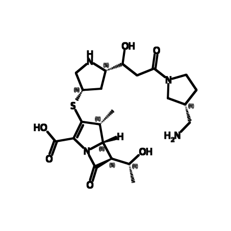 C[C@@H](O)[C@H]1C(=O)N2C(C(=O)O)=C(S[C@@H]3CN[C@H](C(O)CC(=O)N4CC[C@H](CN)C4)C3)[C@H](C)[C@H]12